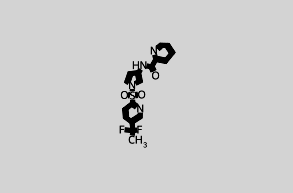 CC(F)(F)c1ccc(S(=O)(=O)n2ccc(NC(=O)c3ccccn3)c2)nc1